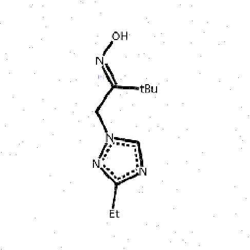 CCc1ncn(C/C(=N/O)C(C)(C)C)n1